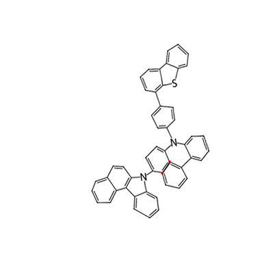 c1ccc(-c2ccccc2N(c2ccc(-c3cccc4c3sc3ccccc34)cc2)c2ccc(-n3c4ccccc4c4c5ccccc5ccc43)cc2)cc1